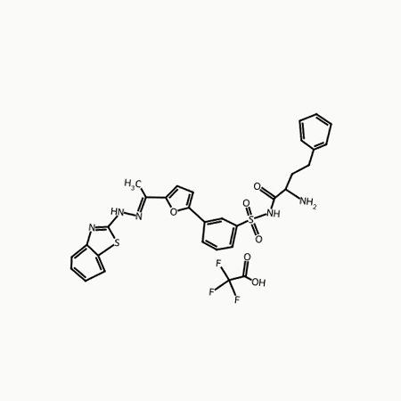 C/C(=N\Nc1nc2ccccc2s1)c1ccc(-c2cccc(S(=O)(=O)NC(=O)C(N)CCc3ccccc3)c2)o1.O=C(O)C(F)(F)F